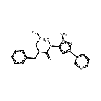 CSCC(Cc1ccccc1)C(=O)N(C)c1cc(-c2cccnc2)nn1C